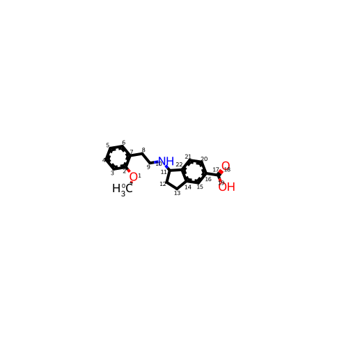 COc1ccccc1CCNC1CCc2cc(C(=O)O)ccc21